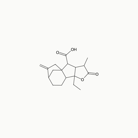 C=C1CC23CC1CCC2C1(CC)OC(=O)C(C)C1C3C(=O)O